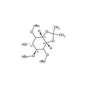 CCCCOC1[C@@H](OCCCC)[C@H](O)C(OCCCC)[C@@H]2OC(C)(C)O[C@H]12